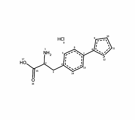 Cl.NC(Cc1ccc(-c2cccs2)cc1)C(=O)O